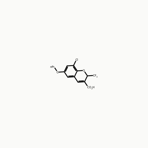 CCCOc1cc(Cl)c2c(c1)C=C(C(=O)O)C(C(F)(F)F)O2